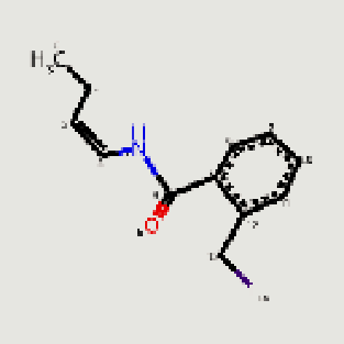 CC/C=C\NC(=O)c1ccccc1CI